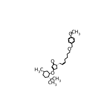 COc1ccc(COCCCC/C=C\C[C@@H]2CC(O[C@@H]3C[C@H](C)CC[C@H]3C(C)C)=CC2=O)cc1